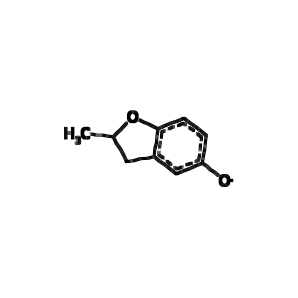 CC1Cc2cc([O])ccc2O1